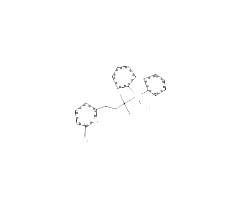 CC(C)(CCc1cccc(Br)n1)[Si](O)(c1ccccc1)c1ccccc1